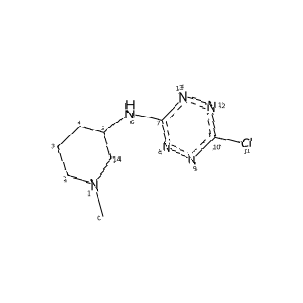 CN1CCCC(Nc2nnc(Cl)nn2)C1